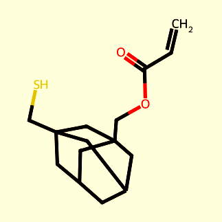 C=CC(=O)OCC12CC3CC(CC(CS)(C3)C1)C2